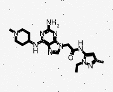 CCn1nc(C)cc1NC(=O)Cn1cnc2c(NC3CCN(C)CC3)nc(N)nc21